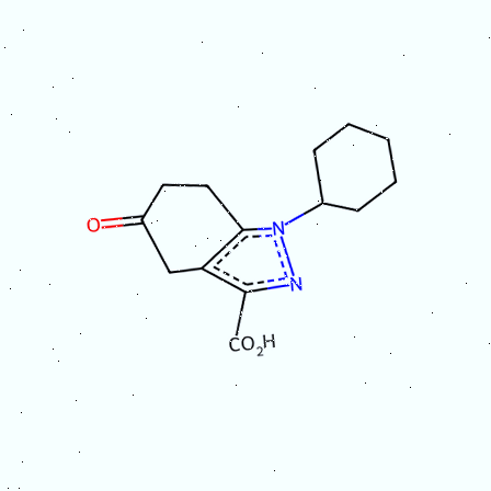 O=C1CCc2c(c(C(=O)O)nn2C2CCCCC2)C1